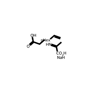 C=CCCCCCC.CC(=N)C(=O)O.CCC(=O)O.[NaH]